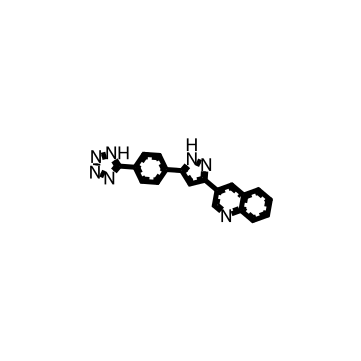 c1ccc2ncc(-c3cc(-c4ccc(-c5nnn[nH]5)cc4)[nH]n3)cc2c1